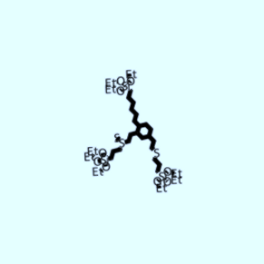 CCO[Si](CCCCCCC1CCC(CCSCCC[Si](OCC)(OCC)OCC)CC1CCS(=S)CCC[Si](OCC)(OCC)OCC)(OCC)OCC